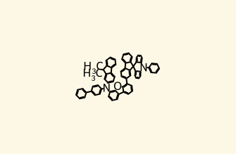 CC1(C)c2ccccc2-c2ccc(N(c3ccc(-c4ccccc4)cc3)c3cccc4c3oc3c(-c5ccc6c(c5)C5(c7ccccc7-6)c6ccccc6N(c6ccccc6)c6ccccc65)cccc34)cc21